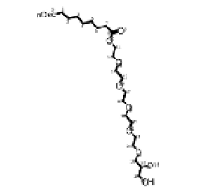 CCCCCCCCCCCCCCCCCC(=O)OCCOCCOCCOCCOCCOCC(O)CO